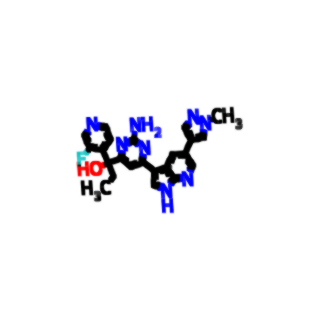 CCC(O)(c1cc(-c2c[nH]c3ncc(-c4cnn(C)c4)cc23)nc(N)n1)c1ccncc1F